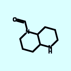 O=CN1CCCC2NCCCC21